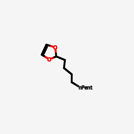 CCCCCCCCCC1OC=CO1